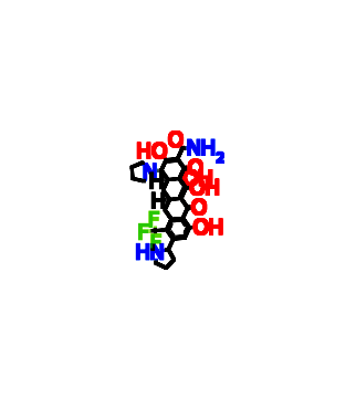 NC(=O)C1=C(O)[C@@H](N2CCCC2)[C@@H]2C[C@@H]3Cc4c(c(O)cc(C5CCCN5)c4C(F)(F)F)C(=O)C3=C(O)[C@]2(O)C1=O